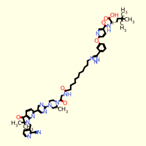 C[C@@H]1CN(c2ncc(-c3ccc4c(n3)N(Cc3cccnc3C#N)C(C)(C)C4=O)cn2)CCN1C(=O)CNC(=O)CCCCCCCCCCn1cc(-c2cccc(Oc3ccc(C(=O)N[C@@H](CCC(C)(C)C)C(=O)O)cn3)c2)nn1